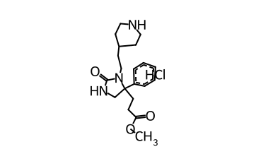 COC(=O)CCC1(c2ccccc2)CNC(=O)N1CCC1CCNCC1.Cl